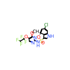 COc1nc(NS(=O)(=O)c2c[nH]c3cc(Cl)ccc23)ncc1OC(F)(F)C(F)F